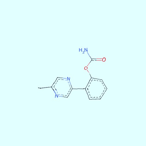 Cc1cnc(-c2ccccc2OC(N)=O)cn1